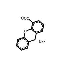 O=C([O-])c1cccc2c1Oc1ccccc1C2.[Na+]